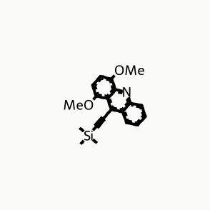 COc1ccc(OC)c2c(C#C[Si](C)(C)C)c3ccccc3nc12